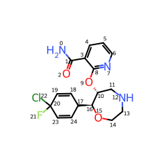 NC(=O)c1cccnc1O[C@@H]1CNCCO[C@H]1C1C=CC(F)(Cl)C=C1